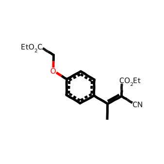 CCOC(=O)COc1ccc(C(C)=C(C#N)C(=O)OCC)cc1